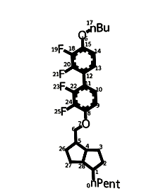 CCCCCC1CCC2C(COc3ccc(-c4ccc(OCCCC)c(F)c4F)c(F)c3F)CCC12